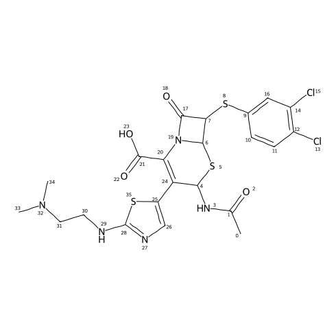 CC(=O)NC1SC2C(Sc3ccc(Cl)c(Cl)c3)C(=O)N2C(C(=O)O)=C1c1cnc(NCCN(C)C)s1